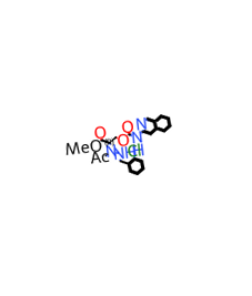 COC(=O)[C@@H](COC(=O)Nc1cc2ccccc2cn1)N(NCc1ccccc1Cl)C(C)=O